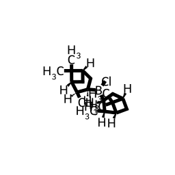 C[C@H]1[C@H]2C[C@@H](C[C@H]1B(Cl)[C@@H]1C[C@@H]3C[C@H]([C@@H]1C)C3(C)C)C2(C)C